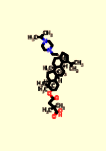 C=C(C)[C@@H]1CC[C@]2(CCN3CCN(C(C)C)CC3)CC[C@]3(C)[C@H](CC[C@@H]4[C@@]5(C)CC[C@H](OC(=O)CC(C)(C)C(=O)O)C(C)(C)[C@@H]5CC[C@]43C)[C@@H]12